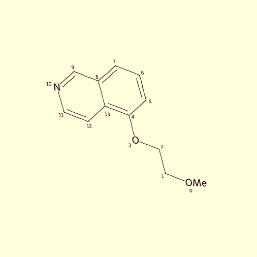 COCCOc1cccc2cnccc12